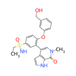 CCS(=N)(=O)c1ccc(Oc2cccc(CO)c2)c(-c2cn(C)c(=O)c3[nH]ccc23)c1